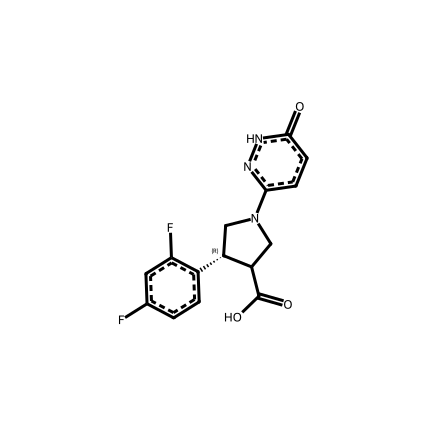 O=C(O)C1CN(c2ccc(=O)[nH]n2)C[C@H]1c1ccc(F)cc1F